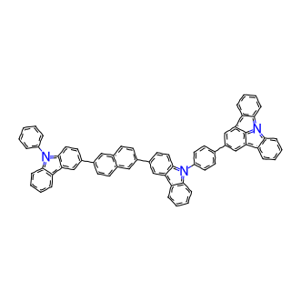 c1ccc(-n2c3ccccc3c3cc(-c4ccc5cc(-c6ccc7c(c6)c6ccccc6n7-c6ccc(-c7cc8c9ccccc9n9c%10ccccc%10c(c7)c89)cc6)ccc5c4)ccc32)cc1